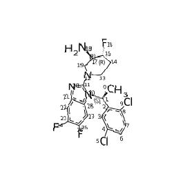 C[C@@H](c1cc(Cl)ccc1Cl)n1c(N2CC[C@@H](F)[C@H](N)C2)nc2cc(F)c(F)cc21